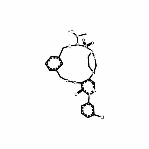 CB(O)N1CCc2cccc(c2)CCOc2c(cnn(-c3cccc(Cl)c3)c2=O)N2CCN(CC2)S1(=O)=O